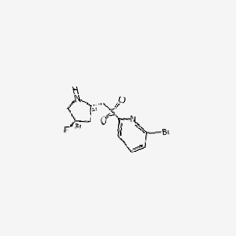 O=S(=O)(C[C@@H]1C[C@@H](F)CN1)c1cccc(Br)n1